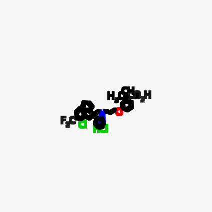 CC(C)(C(=O)O)c1cccc(OCCCNCC(Cc2cccc(C(F)(F)F)c2Cl)(c2ccccc2)c2ccccc2)c1.Cl